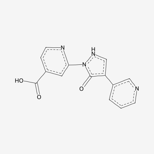 O=C(O)c1ccnc(-n2[nH]cc(-c3cccnc3)c2=O)c1